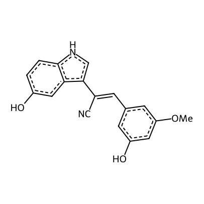 COc1cc(O)cc(/C=C(\C#N)c2c[nH]c3ccc(O)cc23)c1